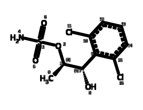 C[C@@H](OS(N)(=O)=O)[C@@H](O)c1c(Cl)cccc1Cl